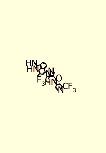 Cc1cc(-n2ncc(C(=O)Nc3ccnc(C(F)(F)F)c3)c2C(F)(F)F)c2cccc3c2c1NC3=N